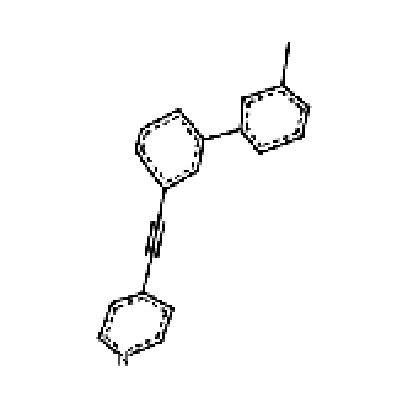 Cc1cccc(-c2cccc(C#Cc3ccncc3)c2)c1